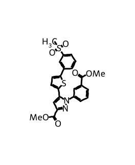 COC(=O)c1cccc(-n2nc(C(=O)OC)cc2-c2ccc(-c3cccc(S(C)(=O)=O)c3)s2)c1